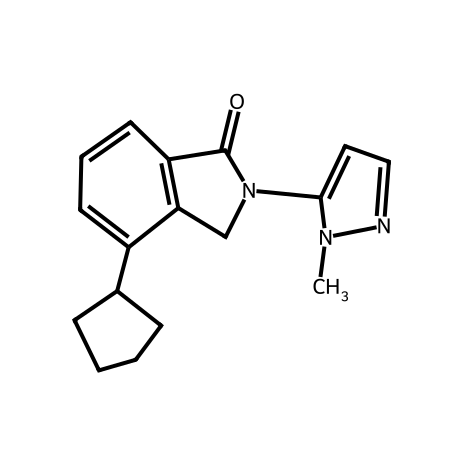 Cn1nccc1N1Cc2c(cccc2C2CCCC2)C1=O